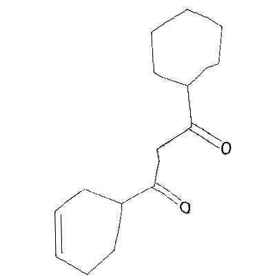 O=C(CC(=O)C1CCCCC1)C1CC=CCC1